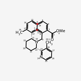 COC(=O)c1ccccc1CN1[C@@H](c2ncccc2C)CCC[C@H]1c1ncccc1C